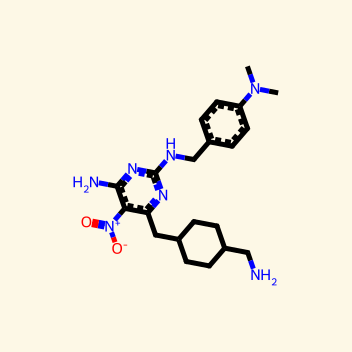 CN(C)c1ccc(CNc2nc(N)c([N+](=O)[O-])c(CC3CCC(CN)CC3)n2)cc1